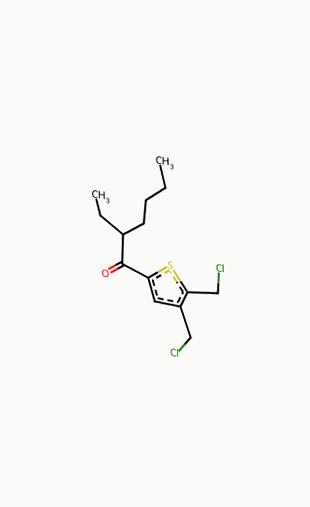 CCCCC(CC)C(=O)c1cc(CCl)c(CCl)s1